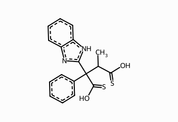 CC(C(O)=S)C(C(O)=S)(c1ccccc1)c1nc2ccccc2[nH]1